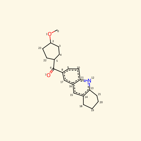 COC1CCC(C(=O)c2ccc3nc4c(cc3c2)CCCC4)CC1